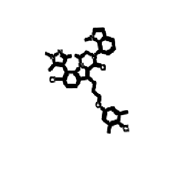 Cc1cc(OCCCc2c3n(c4c(-c5c(C)nn(C)c5C)c(Cl)ccc24)C(C)CN(c2cccc4ccn(C)c24)C3=O)cc(C)c1Cl